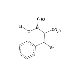 CCON(C=O)C(C(=O)O)C(CC)c1ccccc1